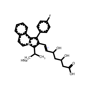 CC(C)c1c(/C=C/C(O)CC(O)CC(=O)O)c(-c2ccc(F)cc2)c2c3ccccc3ccn12.[NaH]